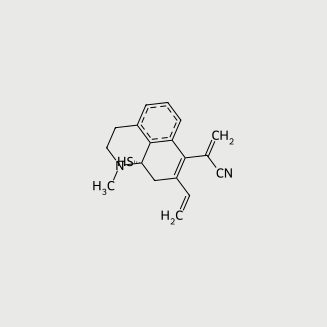 C=CC1=C(C(=C)C#N)c2cccc3c2[C@@](S)(C1)N(C)CC3